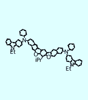 CCn1c2ccccc2c2cc(N(c3ccccc3)c3ccc4cc5c(cc4c3)oc3c(C(C)C)c4oc6cc7cc(N(c8ccccc8)c8ccc9c(c8)c8ccccc8n9CC)ccc7cc6c4cc35)ccc21